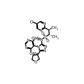 COc1ncnc(OC)c1-n1c(NS(=O)(=O)[C@@H](C)[C@H](C)c2ncc(Cl)cn2)nnc1C1CCOC1